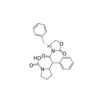 O=C(O)N1CCCC1C(C(=O)N1C(=O)OC[C@H]1Cc1ccccc1)c1ccccc1